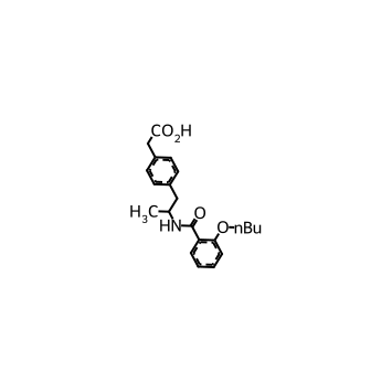 CCCCOc1ccccc1C(=O)NC(C)Cc1ccc(CC(=O)O)cc1